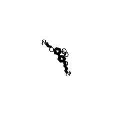 CN(C)CCCOc1ccc2c(c1)-c1ccc(OCCCN(C)C)cc1S2(=O)=O